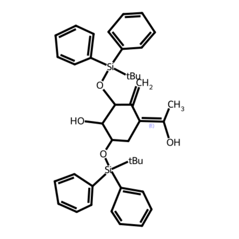 C=C1/C(=C(\C)O)CC(O[Si](c2ccccc2)(c2ccccc2)C(C)(C)C)C(O)C1O[Si](c1ccccc1)(c1ccccc1)C(C)(C)C